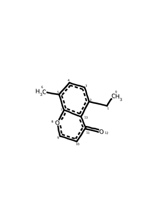 CCc1ccc(C)c2occc(=O)c12